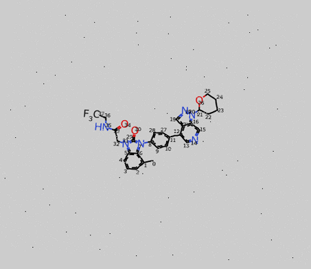 Cc1cccc2c1n(-c1ccc(-c3cncc4c3cnn4C3CCCCO3)cc1)c(=O)n2CC(=O)NCC(F)(F)F